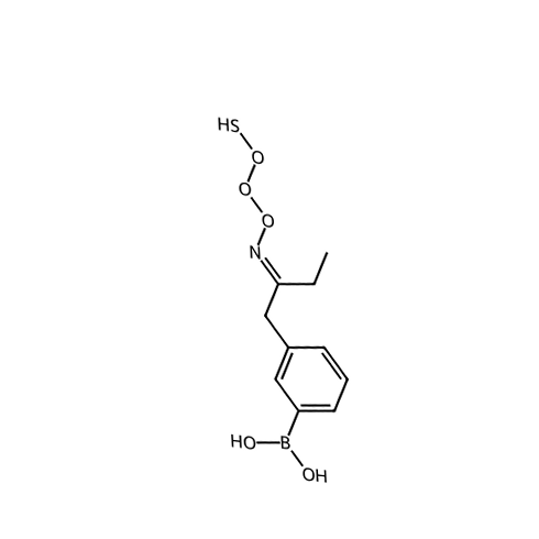 CC/C(Cc1cccc(B(O)O)c1)=N\OOOS